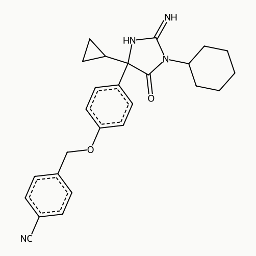 N#Cc1ccc(COc2ccc(C3(C4CC4)NC(=N)N(C4CCCCC4)C3=O)cc2)cc1